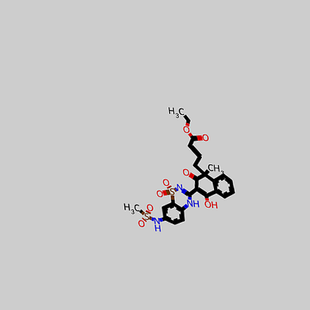 CCOC(=O)/C=C/CC1(C)C(=O)C(C2=NS(=O)(=O)c3cc(NS(C)(=O)=O)ccc3N2)=C(O)c2ccccc21